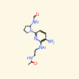 CC(=O)NCCNc1nc(N2CCCC2NC=O)ccc1N